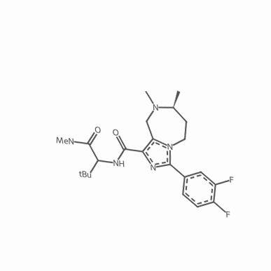 CNC(=O)C(NC(=O)c1nc(-c2ccc(F)c(F)c2)n2c1CN(C)[C@@H](C)CC2)C(C)(C)C